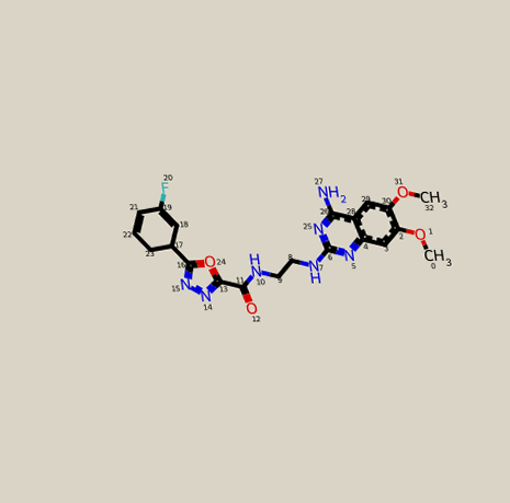 COc1cc2nc(NCCNC(=O)c3nnc(C4C=C(F)C=CC4)o3)nc(N)c2cc1OC